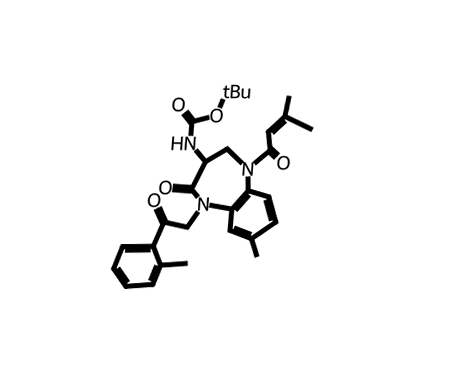 CC(C)=CC(=O)N1CC(NC(=O)OC(C)(C)C)C(=O)N(CC(=O)c2ccccc2C)c2cc(C)ccc21